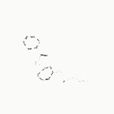 CCCC(=O)Nc1cccc(NC(=O)c2cc(Cl)ccc2Br)c1